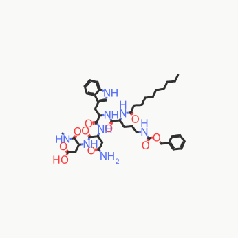 CCCCCCCCCC(=O)NC(CCCNC(=O)OCc1ccccc1)C(=O)NC(Cc1c[nH]c2ccccc12)C(=O)NC(CC(N)=O)C(=O)NC(CC(=O)O)C(=O)NC